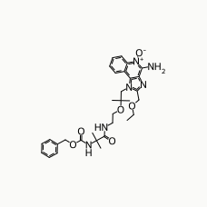 CCOCc1nc2c(N)[n+]([O-])c3ccccc3c2n1CC(C)(C)OCCNC(=O)C(C)(C)NC(=O)OCc1ccccc1